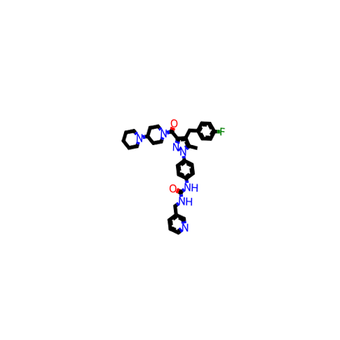 Cc1c(Cc2ccc(F)cc2)c(C(=O)N2CCC(N3CCCCC3)CC2)nn1-c1ccc(NC(=O)NCc2cccnc2)cc1